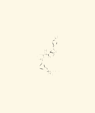 Cc1nc(-c2ccc(Cl)cc2)sc1C(=O)NC1CCCN(c2cccc(OC(C)(C)C(=O)O)c2)C1